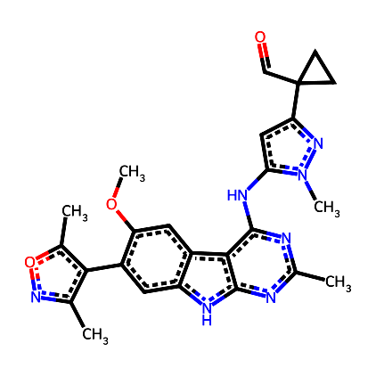 COc1cc2c(cc1-c1c(C)noc1C)[nH]c1nc(C)nc(Nc3cc(C4(C=O)CC4)nn3C)c12